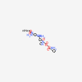 CCCCCCOC(=O)/N=C(\N)c1ccc(NCC(N)c2cccc(C(=O)N(CCC(=O)OCCOC(=O)[C@@H](N)Cc3ccccc3)c3ccccn3)c2)cc1